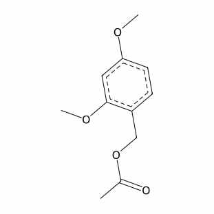 COc1ccc(COC(C)=O)c(OC)c1